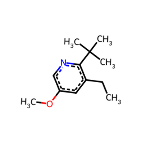 CCc1cc(OC)cnc1C(C)(C)C